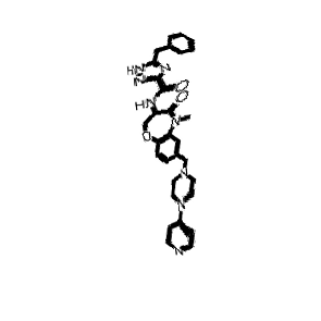 CN1C(=O)C(NC(=O)c2n[nH]c(Cc3ccccc3)n2)COc2ccc(CN3CCN(c4ccncc4)CC3)cc21